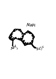 Nc1cccc2ccc(S(=O)(=O)O)cc12.[NaH]